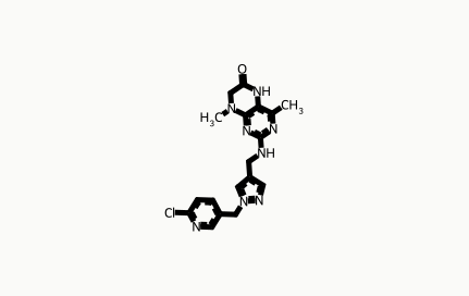 Cc1nc(NCc2cnn(Cc3ccc(Cl)nc3)c2)nc2c1NC(=O)CN2C